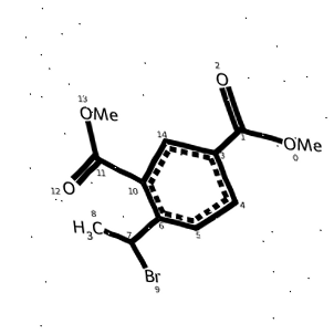 COC(=O)c1ccc(C(C)Br)c(C(=O)OC)c1